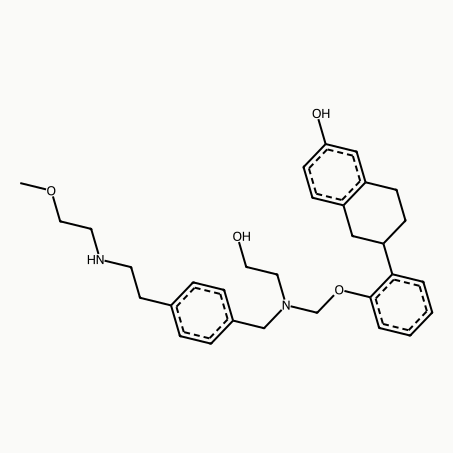 COCCNCCc1ccc(CN(CCO)COc2ccccc2C2CCc3cc(O)ccc3C2)cc1